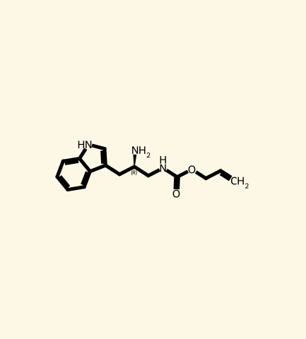 C=CCOC(=O)NC[C@H](N)Cc1c[nH]c2ccccc12